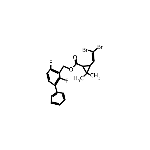 CC1(C)C(C=C(Br)Br)C1C(=O)OCc1c(F)ccc(-c2ccccc2)c1F